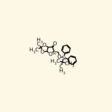 CC1(C)OC2O[C@H](CO[Si](c3ccccc3)(c3ccccc3)C(C)(C)C)C(=O)C2O1